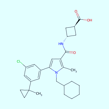 Cc1c(C(=O)N[C@H]2C[C@H](C(=O)O)C2)cc(-c2cc(Cl)cc(C3(C)CC3)c2)n1CC1CCCCC1